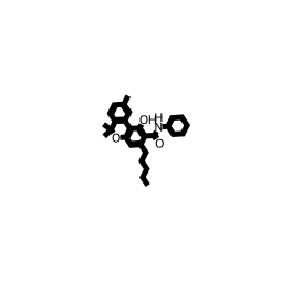 CCCCCc1cc2c(c(O)c1C(=O)NC1CCCCC1)-c1cc(C)ccc1C(C)(C)O2